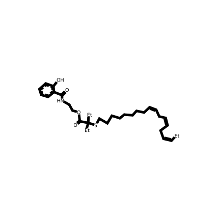 CC/C=C\C/C=C\C/C=C\CCCCCCCCSC(CC)(CC)C(=O)OCCNC(=O)c1ccccc1O